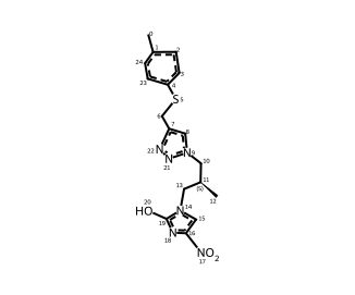 Cc1ccc(SCc2cn(C[C@@H](C)Cn3cc([N+](=O)[O-])nc3O)nn2)cc1